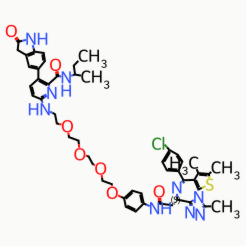 CCC(C)NC(=O)c1nc(NCCOCCOCCOCCOc2ccc(NC(=O)C[C@@H]3N=C(c4ccc(Cl)cc4)c4c(sc(C)c4C)-n4c(C)nnc43)cc2)ccc1-c1ccc2c(c1)CC(=O)N2